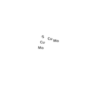 [Cu].[Cu].[Mo].[Mo].[S]